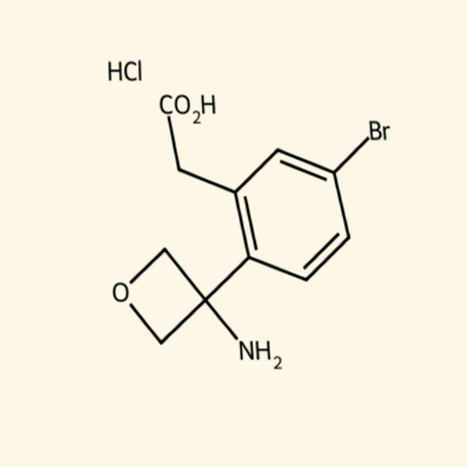 Cl.NC1(c2ccc(Br)cc2CC(=O)O)COC1